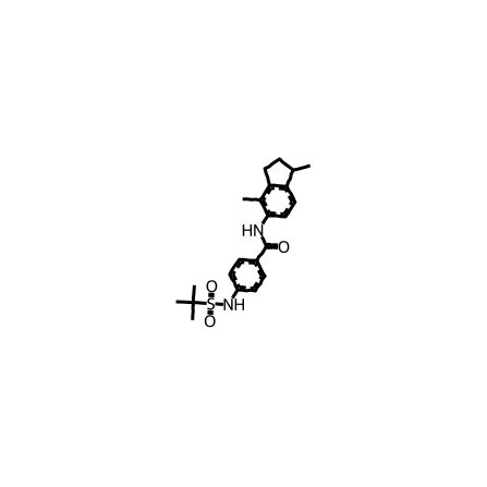 Cc1c(NC(=O)c2ccc(NS(=O)(=O)C(C)(C)C)cc2)ccc2c1CCC2C